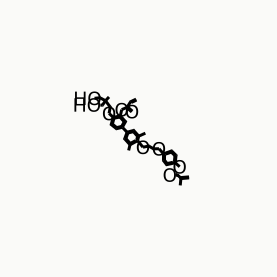 C=CC(=O)Oc1cc(-c2cc(C)c(OCCOc3ccc(OC(=O)C(=C)C)cc3)c(C)c2)ccc1OCC(C)(CO)CO